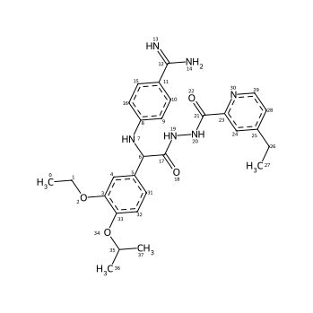 CCOc1cc(C(Nc2ccc(C(=N)N)cc2)C(=O)NNC(=O)c2cc(CC)ccn2)ccc1OC(C)C